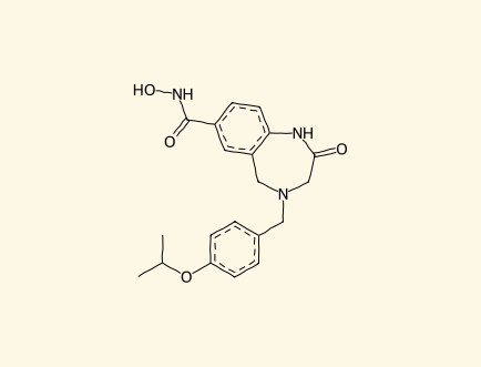 CC(C)Oc1ccc(CN2CC(=O)Nc3ccc(C(=O)NO)cc3C2)cc1